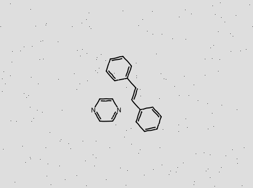 C(=C\c1ccccc1)/c1ccccc1.c1cnccn1